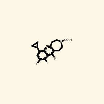 O=C(O)N1CCc2nc3c(C4CC4)cc(F)c(F)c3c(Br)c2CC1